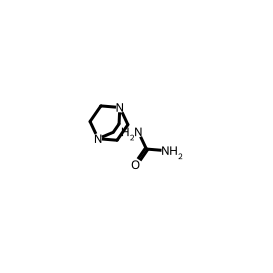 C1CN2CCN1CC2.NC(N)=O